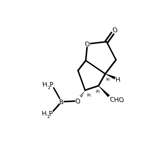 O=C[C@H]1[C@H](OB(P)P)CC2OC(=O)C[C@@H]21